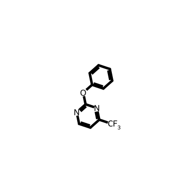 FC(F)(F)c1ccnc(Oc2ccccc2)n1